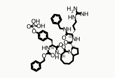 N=C(N)NCCC[C@H](NC(=O)[C@@H]1CCC2CCCC[C@H](NC(=O)[C@H](Cc3ccc(OP(=O)(O)O)cc3)NC(=O)OCc3ccccc3)C(=O)N21)C(=O)NCc1ccccc1